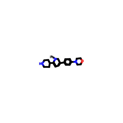 CC(C)N1CC(c2ccc(N3CCOCC3)cc2)=CC=C1C1CCNCC1